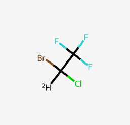 [2H]C(Cl)(Br)C(F)(F)F